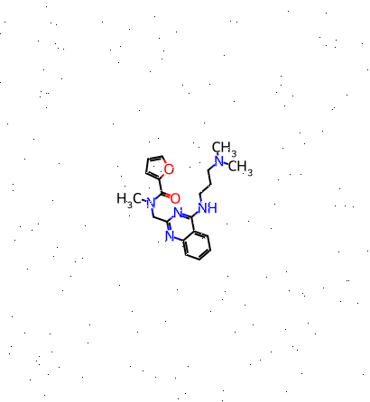 CN(C)CCCNc1nc(CN(C)C(=O)c2ccco2)nc2ccccc12